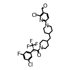 O=Cc1ccc(N2CCC(CC3CCN(C(=O)[C@@H](c4cc(F)cc(Cl)c4)C(F)(F)F)CC3)CC2)nc1Cl